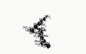 CC[C@H](C)[C@@H]([C@@H](CC(=O)N1CCC[C@H]1[C@H](OC)[C@@H](C)C(=O)N[C@H](C)[C@@H](O)c1ccccc1)OC)N(C)C(=O)[C@@H](NC(=O)[C@H](C(C)C)N(C)C(=O)OCc1cc(NC(=O)CN(CCNC(=O)CON)S(C)(=O)=O)ccc1OC1OC(C(=O)O)C(O)C(O)C1O)C(C)C